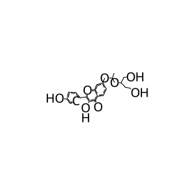 CC(Oc1ccc2c(=O)c(O)c(-c3ccc(O)cc3)oc2c1)OC(CO)CCO